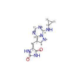 O=C1NC(=O)C(=Cc2cnn3c(NC4CC4)ncnc23)N1